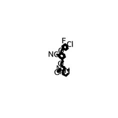 CN1CCCn2c1cc(OCc1ccc(Oc3ccc(Cl)c(F)c3)c(C#N)c1)nc2=O